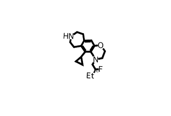 CC[C@H](F)CN1CCOc2cc3c(c(C4CC4)c21)CCNCC3